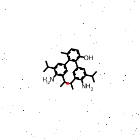 Cc1ccc(O)c(-c2cc(C(C)C)c(N)c(C(C)C)c2)c1-c1cc(C(C)C)c(N)c(C(C)C)c1